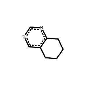 [c]1ncnc2c1CCCC2